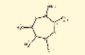 CCCCCCN1CC(C)C(C)C(C)CC1C